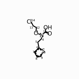 O=C(O)N(CCc1cccs1)OCCCl